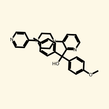 COc1ccc(C(O)(c2ccc(C)cc2)c2ncccc2N2CCN(c3ccncc3)CC2)cc1